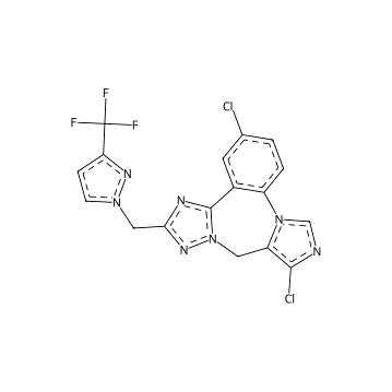 FC(F)(F)c1ccn(Cc2nc3n(n2)Cc2c(Cl)ncn2-c2ccc(Cl)cc2-3)n1